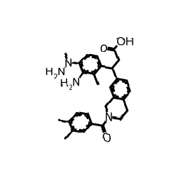 Cc1ccc(C(=O)N2CCc3ccc(C(CC(=O)O)c4ccc(N(C)N)c(N)c4C)cc3C2)cc1C